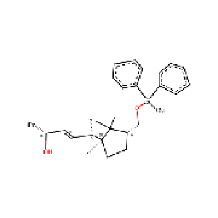 CC(C)[C@@H](O)/C=C/[C@H](C)[C@]1(C)CC[C@@H](CO[Si](c2ccccc2)(c2ccccc2)C(C)(C)C)C1(C)C